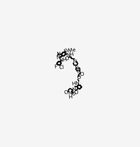 COc1cc2ncnc(Nc3ccc(F)c(Cl)c3)c2cc1NC(=O)/C=C/CN1CCC(N2CCN(C(=O)COCCNc3cccc4c3CN(C3CCC(=O)NC3=O)C4=O)CC2)CC1